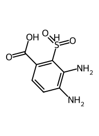 Nc1ccc(C(=O)O)c([SH](=O)=O)c1N